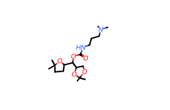 CN(C)CCCNC(=O)OC(C1CCC(C)(C)O1)C1COC(C)(C)O1